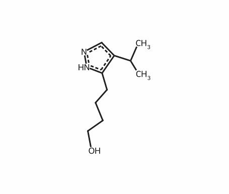 CC(C)c1cn[nH]c1CCCCO